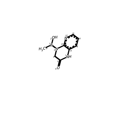 CB(O)N1CC(=O)Nc2cccnc21